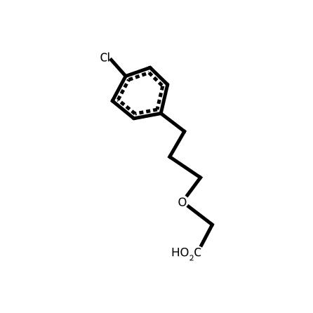 O=C(O)COCCCc1ccc(Cl)cc1